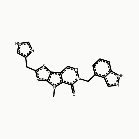 Cn1c2nc(Cc3c[nH]cn3)sc2c2cnn(Cc3cccc4[nH]ncc34)c(=O)c21